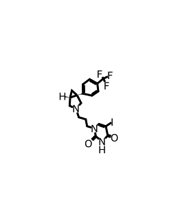 O=c1[nH]c(=O)n(CCCN2C[C@H]3C[C@@]3(c3ccc(C(F)(F)F)cc3)C2)cc1I